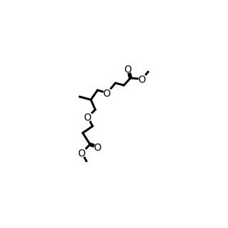 COC(=O)CCOCC(C)COCCC(=O)OC